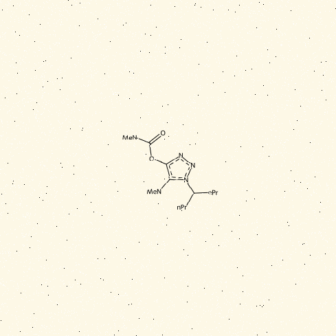 CCCC(CCC)n1nnc(OC(=O)NC)c1NC